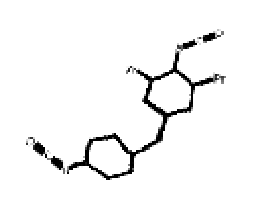 CC(C)C1CC(CC2CCC(N=C=O)CC2)CC(C(C)C)C1N=C=O